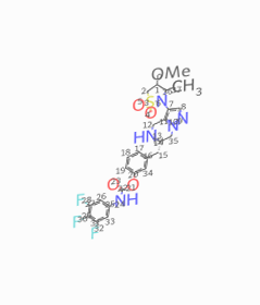 COC1CS(=O)(=O)N(c2cnn3c2CN[C@@H](Cc2cccc(OC(=O)Nc4cc(F)c(F)c(F)c4)c2)C3)C1C